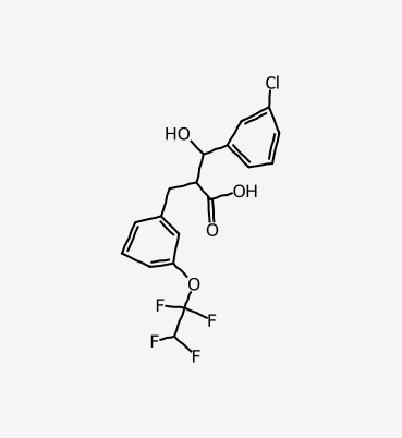 O=C(O)C(Cc1cccc(OC(F)(F)C(F)F)c1)C(O)c1cccc(Cl)c1